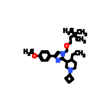 CCC1CCN(C2CCC2)CC1c1nc(-c2ccc(OC)cc2)cn1COCC[Si](C)(C)C